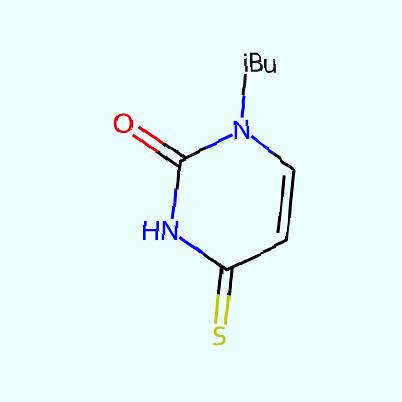 CCC(C)n1ccc(=S)[nH]c1=O